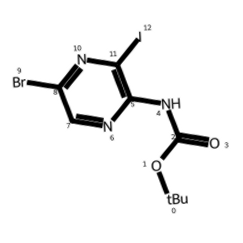 CC(C)(C)OC(=O)Nc1ncc(Br)nc1I